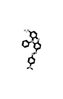 CN(C)c1ccc(N=Nc2ccc3nc4ccc(N)cc4[n+](-c4ccccc4)c3c2)cc1